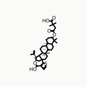 C=C(C)[C@@H]1CCC2(c3sccc3C(=O)O)CC[C@]3(C)C(CCC4[C@@]5(C)CC[C@H](OC(=O)CC(C)(C)C(=O)O)C(C)(C)C5CC[C@]43C)C12